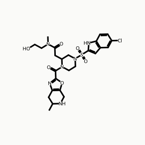 CC1Cc2nc(C(=O)N3CCN(S(=O)(=O)c4cc5cc(Cl)ccc5[nH]4)CC3CC(=O)N(C)CCO)oc2CN1